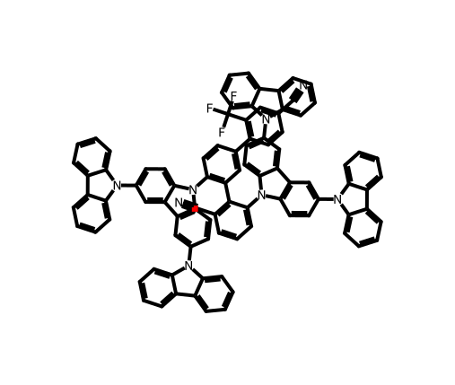 N#Cc1ccc(-c2ccc(-n3c4ccc(-n5c6ccccc6c6ccccc65)cc4c4cc(-n5c6ccccc6c6ccccc65)ccc43)c(-c3c(C#N)cccc3-n3c4ccc(-n5c6ccccc6c6ccccc65)cc4c4cc(-n5c6ccccc6c6ccccc65)ccc43)c2)c(C(F)(F)F)c1